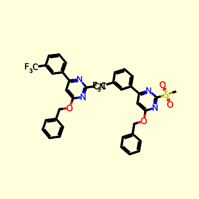 CS(=O)(=O)c1nc(OCc2ccccc2)cc(-c2cccc(C(F)(F)F)c2)n1.N#Cc1nc(OCc2ccccc2)cc(-c2cccc(C(F)(F)F)c2)n1